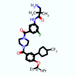 CCC[C@@H](CC)Oc1ccc(C(=O)N2CCN(C(=O)c3cc(F)cc(NC(=O)C(C)(C)CN)c3)CC2)cc1C1CCC(C(F)(F)F)CC1